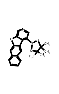 CC1(C)OB(c2cncc3oc4cc5ccccc5cc4c23)OC1(C)C